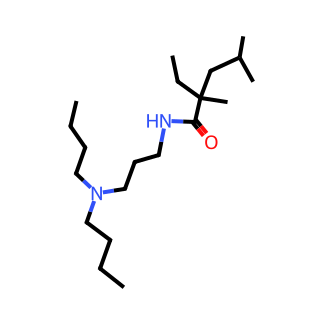 CCCCN(CCCC)CCCNC(=O)C(C)(CC)CC(C)C